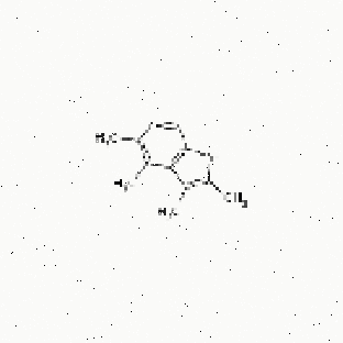 CC1=C(C)c2c(ccc(C)c2C)[N]1